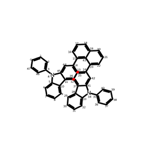 c1ccc(-n2c3ccccc3c3ccc(-c4cccc5cccc(-c6ccc7c8ccccc8n(-c8ccccc8)c7c6)c45)cc32)cc1